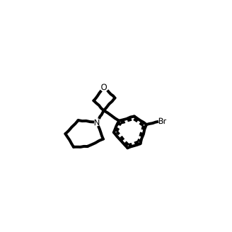 Brc1cccc(C2(N3CCCCC3)COC2)c1